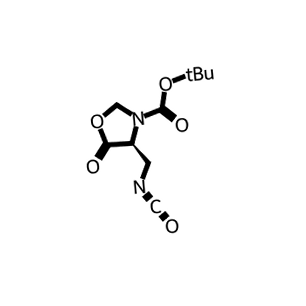 CC(C)(C)OC(=O)N1COC(=O)[C@@H]1CN=C=O